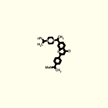 C=C(NC)c1ccc(-c2cc(Cl)c3ccc(C(=C)N4CCN(C(=C)CCC)CC4)cc3n2)cc1